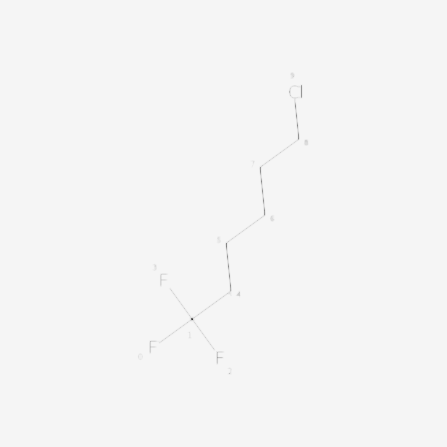 FC(F)(F)[CH]CCCCCl